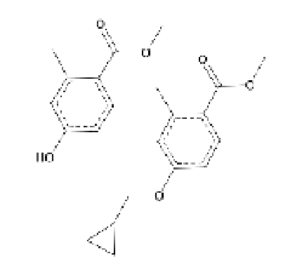 COC(=O)c1ccc(O)cc1C.COC(=O)c1ccc(OCC2CC2)cc1C